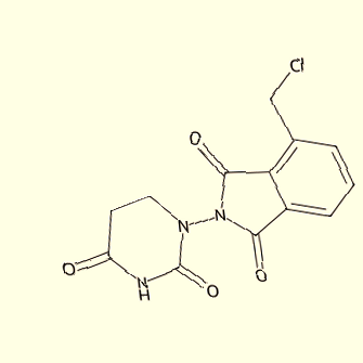 O=C1CCN(N2C(=O)c3cccc(CCl)c3C2=O)C(=O)N1